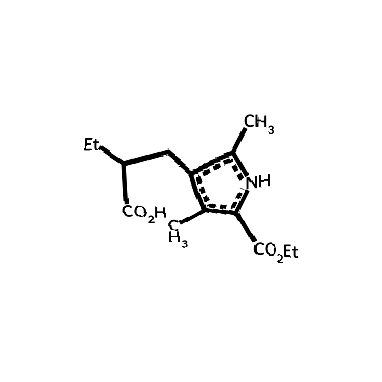 CCOC(=O)c1[nH]c(C)c(CC(CC)C(=O)O)c1C